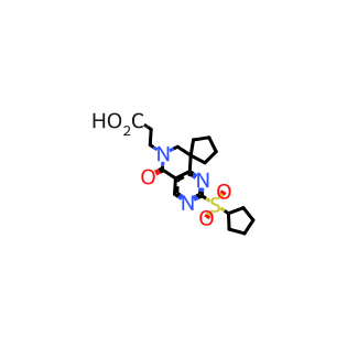 O=C(O)CCN1CC2(CCCC2)c2nc(S(=O)(=O)C3CCCC3)ncc2C1=O